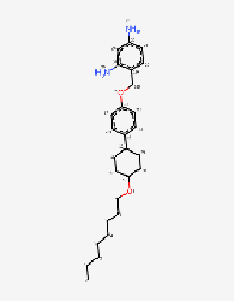 CCCCCCCCOC1CCC(c2ccc(OCc3ccc(N)cc3N)cc2)CC1